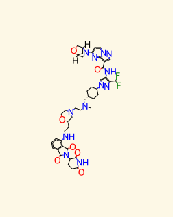 CN(CCN1CCO[C@H](CCNc2cccc3c2C(=O)N(C2CCC(=O)NC2=O)C3=O)C1)C[C@H]1CC[C@H](n2cc(NC(=O)c3cnn4ccc(N5C[C@H]6C[C@@H]5CO6)nc34)c(C(F)F)n2)CC1